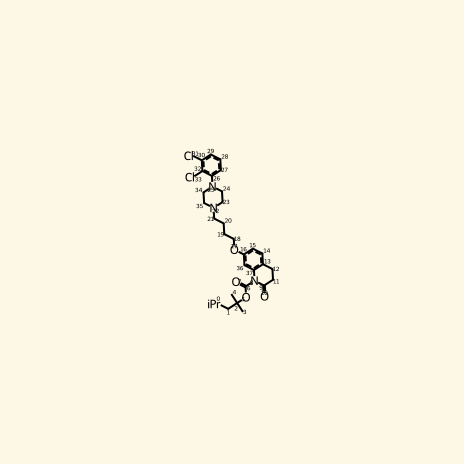 CC(C)CC(C)(C)OC(=O)N1C(=O)CCc2ccc(OCCCCN3CCN(c4cccc(Cl)c4Cl)CC3)cc21